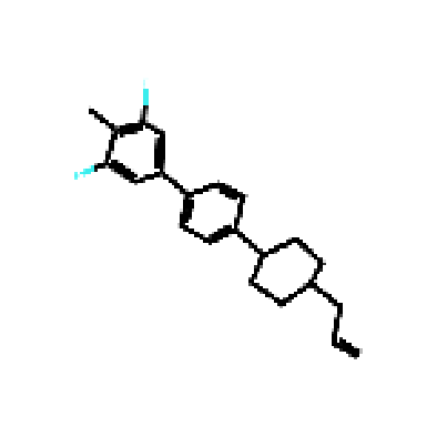 C=CCC1CCC(c2ccc(-c3cc(F)c(C)c(F)c3)cc2)CC1